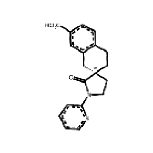 O=C(O)c1ccc2c(c1)C[C@]1(CC2)CCN(c2ccccn2)C1=O